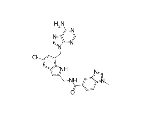 Cn1cnc2cc(C(=O)NCc3cc4cc(Cl)cc(Cn5cnc6c(N)ncnc65)c4[nH]3)ccc21